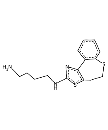 NCCCCNc1nc2c(s1)CCSc1ccccc1-2